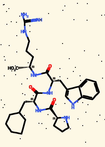 N=C(N)NCCC[C@H](NC(=O)[C@H](Cc1c[nH]c2ccccc12)NC(=O)[C@@H](CC1CCCCC1)NC(=O)[C@@H]1CCCN1)C(=O)O